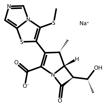 CSc1c(C2=C(C(=O)[O-])N3C(=O)[C@H]([C@@H](C)O)[C@H]3[C@H]2C)sc2cncn12.[Na+]